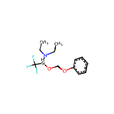 CCN(CC)[SiH](OCOc1ccccc1)C(F)(F)F